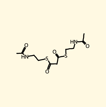 CC(=O)NCCSC(=O)CC(=O)SCCNC(C)=O